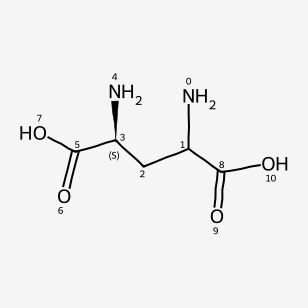 NC(C[C@H](N)C(=O)O)C(=O)O